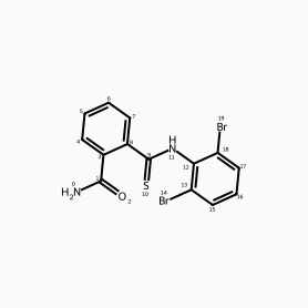 NC(=O)c1ccccc1C(=S)Nc1c(Br)cccc1Br